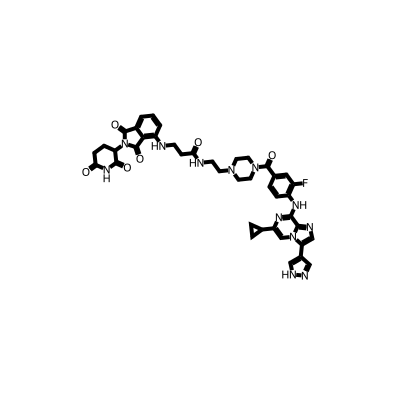 O=C(CCNc1cccc2c1C(=O)N(C1CCC(=O)NC1=O)C2=O)NCCN1CCN(C(=O)c2ccc(Nc3nc(C4CC4)cn4c(-c5cn[nH]c5)cnc34)c(F)c2)CC1